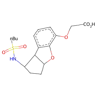 CCCCS(=O)(=O)NC1CCC2Oc3c(OCC(=O)O)cccc3C12